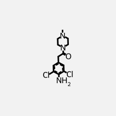 CN1CCN(C(=O)Cc2cc(Cl)c(N)c(Cl)c2)CC1